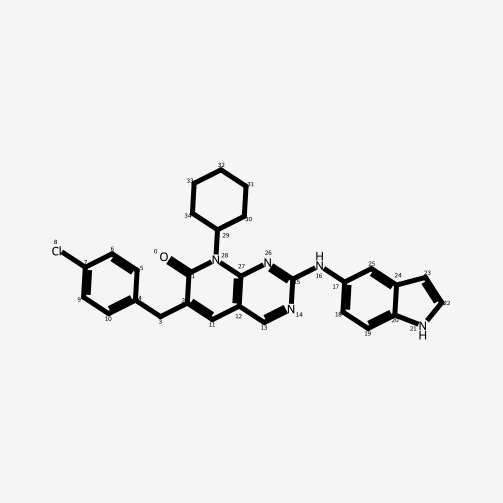 O=c1c(Cc2ccc(Cl)cc2)cc2cnc(Nc3ccc4[nH]ccc4c3)nc2n1C1CCCCC1